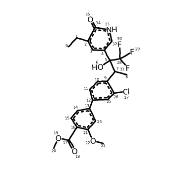 CCc1cc(C(O)(C(C)c2ccc(-c3ccc(C(=O)OC)c(OC)c3)cc2Cl)C(F)(F)F)c[nH]c1=O